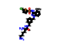 COc1cccc2c1c(NS(=O)(=O)c1ccc(Cl)s1)nn2Cc1cccc(CNC(=O)[C@@H](N)CCCCN)c1